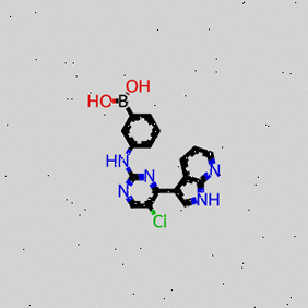 OB(O)c1cccc(Nc2ncc(Cl)c(-c3c[nH]c4ncccc34)n2)c1